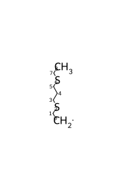 [CH2]CSCCCSCC